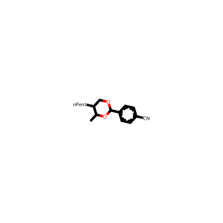 CCCCCC1COC(c2ccc(C#N)cc2)OC1C